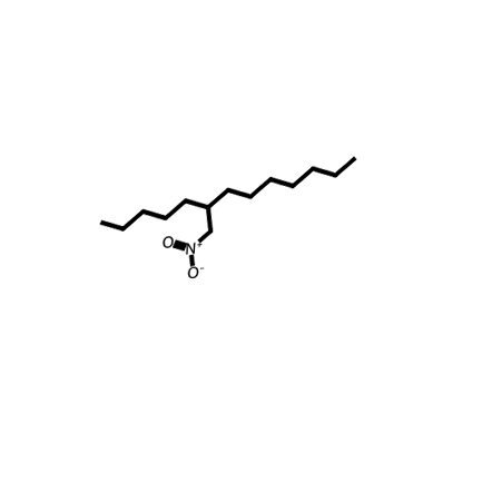 CCCCCCCC(CCCCC)C[N+](=O)[O-]